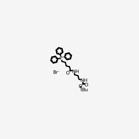 CC(C)(C)OC(=O)NCCCNC(=O)CCCC[P+](c1ccccc1)(c1ccccc1)c1ccccc1.[Br-]